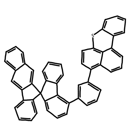 c1cc(-c2cccc3c2-c2ccccc2C32c3ccccc3-c3cc4ccccc4cc32)cc(-c2ccc3c4c(cccc24)-c2ccccc2S3)c1